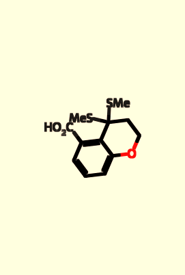 CSC1(SC)CCOc2cccc(C(=O)O)c21